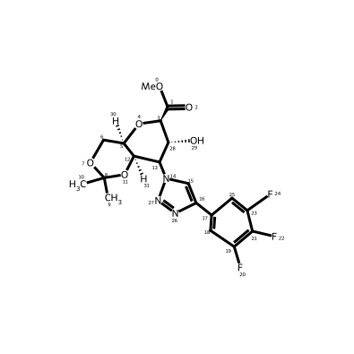 COC(=O)[C@@H]1O[C@@H]2COC(C)(C)O[C@@H]2C(n2cc(-c3cc(F)c(F)c(F)c3)nn2)[C@H]1O